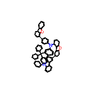 c1ccc(-n2c3ccccc3c3cc(-c4ccc5oc6cccc(N(c7ccc(-c8cccc9c8oc8ccccc89)cc7)c7ccc8c(c7)C(c7ccccc7)(c7ccccc7)c7ccccc7-8)c6c5c4)ccc32)cc1